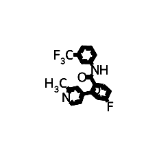 Cc1cc(-c2c(C(=O)Nc3cccc(C(F)(F)F)c3)c3cc(F)c2o3)ccn1